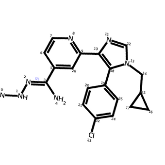 NN/N=C(\N)c1ccnc(-c2ncn(CC3CC3)c2-c2ccc(Cl)cc2)c1